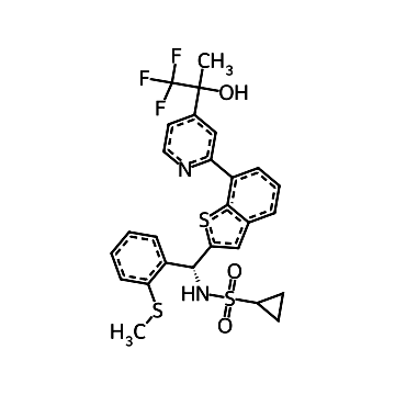 CSc1ccccc1[C@@H](NS(=O)(=O)C1CC1)c1cc2cccc(-c3cc(C(C)(O)C(F)(F)F)ccn3)c2s1